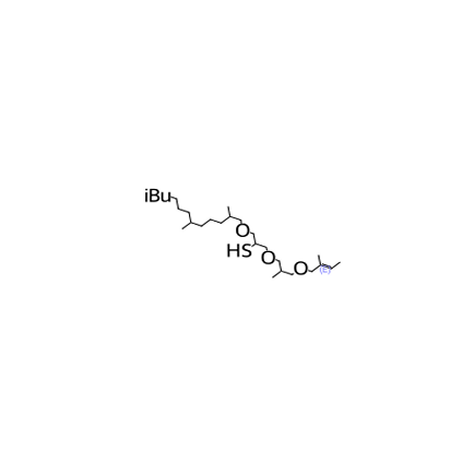 C/C=C(\C)COCC(C)COCC(S)COCC(C)CCCC(C)CCCC(C)CC